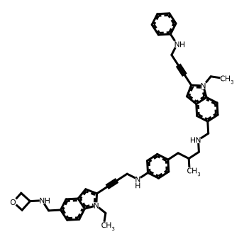 CCn1c(C#CCNc2ccccc2)cc2cc(CNCC(C)Cc3ccc(NCC#Cc4cc5cc(CNC6COC6)ccc5n4CC)cc3)ccc21